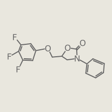 O=C1OC(COc2cc(F)c(F)c(F)c2)CN1c1ccccc1